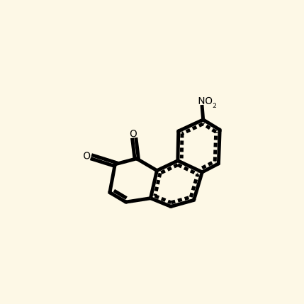 O=C1C=Cc2ccc3ccc([N+](=O)[O-])cc3c2C1=O